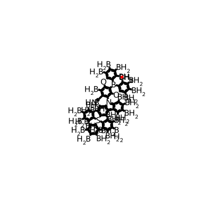 Bc1c(B)c(B)c(S(c2c(B)c(B)c(B)c(B)c2B)(c2c(B)c(B)c(B)c(B)c2B)c2c(B)c(B)c3c(c2B)c2c(B)c(B)c(B)c(B)c2n3-c2c(C#N)c(B)c3c4c2Oc2c(B)c(B)c(B)c(B)c2B4c2c(B)c(B)c(B)c(B)c2O3)c(B)c1B